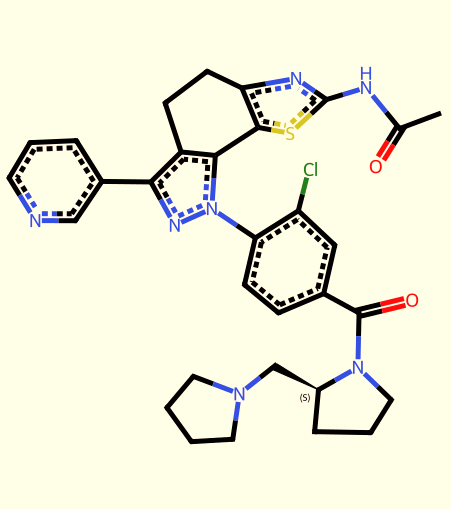 CC(=O)Nc1nc2c(s1)-c1c(c(-c3cccnc3)nn1-c1ccc(C(=O)N3CCC[C@H]3CN3CCCC3)cc1Cl)CC2